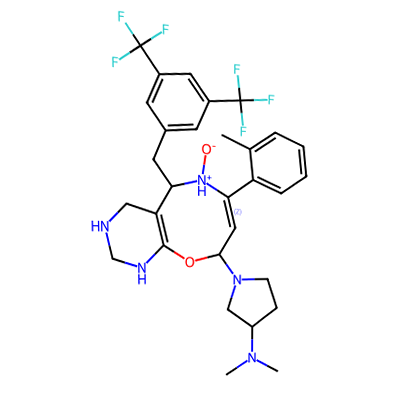 Cc1ccccc1/C1=C/C(N2CCC(N(C)C)C2)OC2=C(CNCN2)C(Cc2cc(C(F)(F)F)cc(C(F)(F)F)c2)[NH+]1[O-]